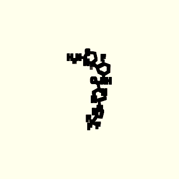 C[C@@]1(c2cc(NC(=O)c3cnc(-n4ccc(C(F)(F)F)n4)cn3)ccc2F)CCSC(N)=N1